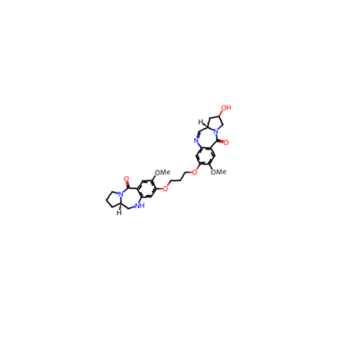 COc1cc2c(cc1OCCCOc1cc3c(cc1OC)C(=O)N1CCC[C@H]1CN3)N=C[C@@H]1C[C@@H](O)CN1C2=O